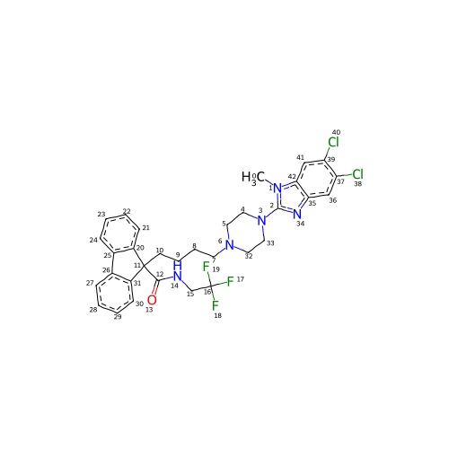 Cn1c(N2CCN(CCCCC3(C(=O)NCC(F)(F)F)c4ccccc4-c4ccccc43)CC2)nc2cc(Cl)c(Cl)cc21